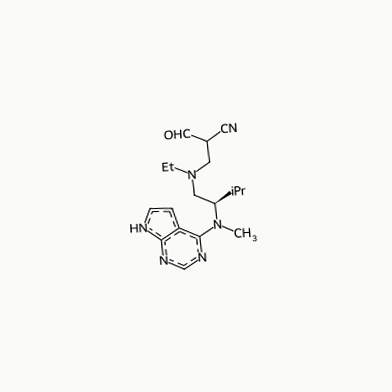 CCN(CC(C#N)C=O)C[C@@H](C(C)C)N(C)c1ncnc2[nH]ccc12